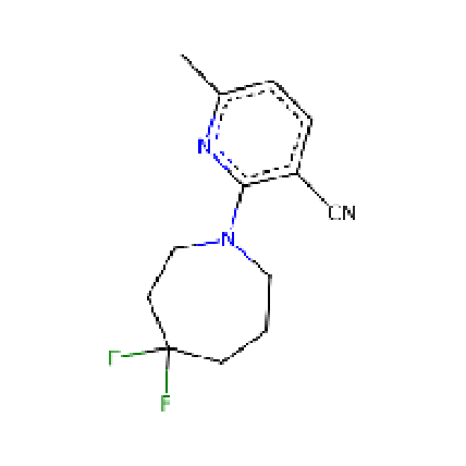 Cc1ccc(C#N)c(N2CCCC(F)(F)CC2)n1